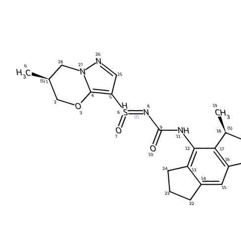 C[C@@H]1COc2c(/[SH](=O)=N/C(=O)Nc3c4c(cc5c3[C@@H](C)CC5)CCC4)cnn2C1